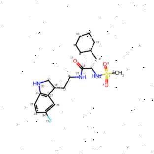 CS(=O)(=O)N[C@@H](CC1CCCCC1)C(=O)NCCC1CNc2ccc(F)cc21